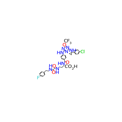 O=C(NCCc1ccc(F)cc1)C(=O)NCC[C@H](NC(=O)c1ccc(Nc2nc(NC3(c4ccc(Cl)cc4)CC3)nc(OCC(F)(F)F)n2)cc1)C(=O)O